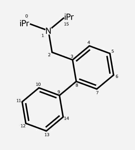 CC(C)N(Cc1ccccc1-c1ccccc1)C(C)C